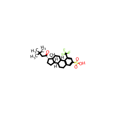 CC(C)(C)CC(=O)[C@H]1CC[C@H]2[C@@H]3CCc4cc(S(=O)(=O)O)cc(C(F)(F)F)c4[C@H]3CC[C@]12C